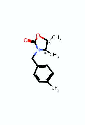 C[C@@H]1[C@@H](C)OC(=O)N1Cc1ccc(C(F)(F)F)cc1